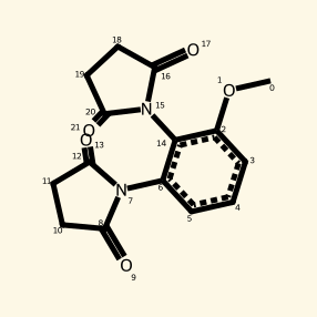 COc1cc[c]c(N2C(=O)CCC2=O)c1N1C(=O)CCC1=O